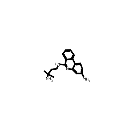 CC(C)(N)CCNc1nc2cc(N)ccc2c2ccccc12